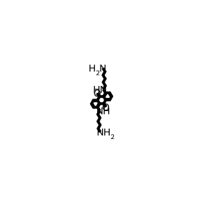 NCCCCCNc1cccc2c1C(=O)c1cccc(NCCCCCN)c1C2=O